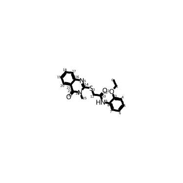 CCOc1ccccc1NC(=O)CSc1nc2ccccc2c(=O)n1C